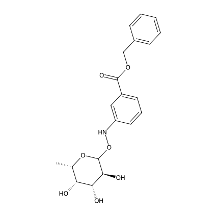 C[C@@H]1OC(ONc2cccc(C(=O)OCc3ccccc3)c2)[C@@H](O)[C@H](O)[C@@H]1O